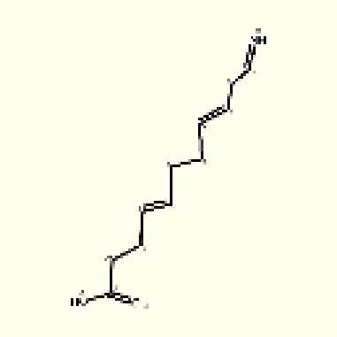 N=CC/C=C/CC/C=C/CCC(=O)O